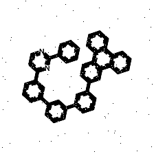 c1ccc(-c2nccc(-c3cccc(-c4cccc(-c5cccc(-c6ccc7c8ccccc8c8ccccc8c7c6)c5)c4)c3)n2)cc1